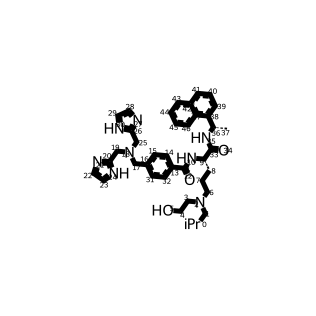 CC(C)CN(CCO)CCC[C@H](NC(=O)c1ccc(CN(Cc2ncc[nH]2)Cc2ncc[nH]2)cc1)C(=O)N[C@@H](C)c1cccc2ccccc12